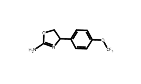 NC1=NC(c2ccc(OC(F)(F)F)cc2)CO1